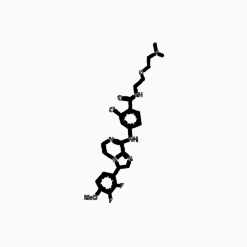 COc1ccc(C2CN=C3C(Nc4ccc(C(=O)NCCOCCN(C)C)c(Cl)c4)=NC=CN32)c(F)c1F